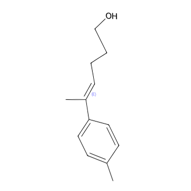 C/C(=C\CCCO)c1ccc(C)cc1